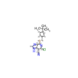 CC(C)(C)c1ccc(CSc2nc(Cl)c(C#N)c3[nH]cnc23)cc1